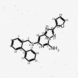 Nc1nc(SCc2ccccc2-c2ccccc2)cc2nc(-c3ccco3)nn12